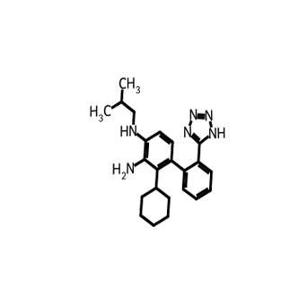 CC(C)CNc1ccc(-c2ccccc2-c2nnn[nH]2)c(C2CCCCC2)c1N